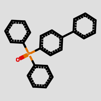 O=P(c1ccccc1)(c1ccccc1)c1ccc(-c2ccccc2)cc1